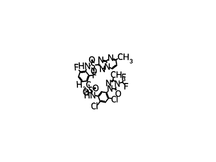 Cc1ccn2nc(S(=O)(=O)Nc3c(F)cccc3F)nc2n1.Cc1nn(-c2cc(NS(C)(=O)=O)c(Cl)cc2Cl)c(=O)n1C(F)F